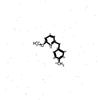 COc1cccc(Cc2ccc(C)cc2)n1